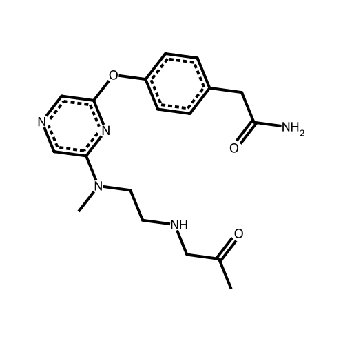 CC(=O)CNCCN(C)c1cncc(Oc2ccc(CC(N)=O)cc2)n1